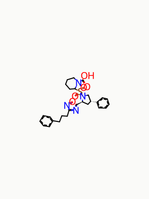 O=C(O)N1CCCCC1S(=O)(=O)N1C[C@H](c2ccccc2)C[C@H]1c1nc(CCCc2ccccc2)no1